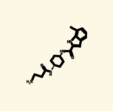 Cc1cccc2cc(C(=O)N[C@H]3CC[C@@H](NC(=O)CCN)CC3)[nH]c12